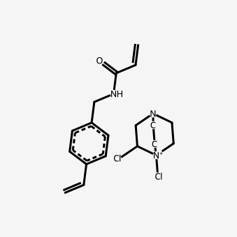 C=CC(=O)NCc1ccc(C=C)cc1.ClC1CN2CC[N+]1(Cl)CC2